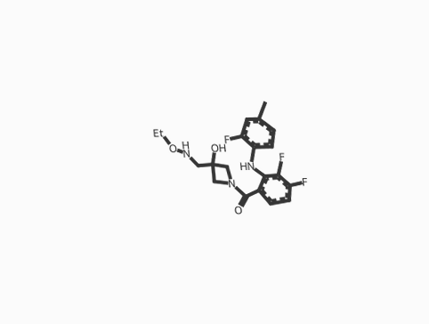 CCONCC1(O)CN(C(=O)c2ccc(F)c(F)c2Nc2ccc(C)cc2F)C1